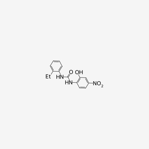 CCc1ccccc1NC(=O)Nc1ccc([N+](=O)[O-])cc1O